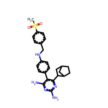 CS(=O)(=O)c1ccc(CNc2ccc(-c3c(N)nc(N)nc3C3CC4CCC3C4)cc2)cc1